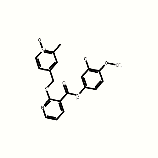 Cc1cc(CSc2ncccc2C(=O)Nc2ccc(OC(F)(F)F)c(Cl)c2)cc[n+]1[O-]